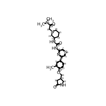 Cc1cc(-c2cncc(NC(=O)NC3CCCN(CC(=O)N(C)C)C3)n2)ccc1OCC1CNC(=O)C1